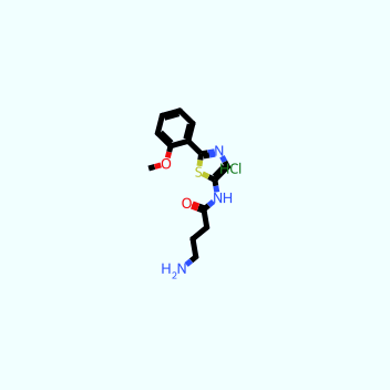 COc1ccccc1-c1ncc(NC(=O)CCCN)s1.Cl